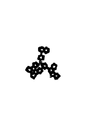 c1ccc2c(c1)-c1ccccc1C21c2ccccc2-c2ccc(N(c3ccc(-c4cccc5ccccc45)cc3)c3ccc(-c4cc5sc6ccccc6c5c5ccccc45)cc3)cc21